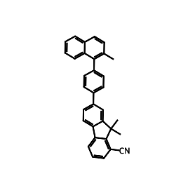 Cc1ccc2ccccc2c1-c1ccc(-c2ccc3c(c2)C(C)(C)c2c(C#N)cccc2-3)cc1